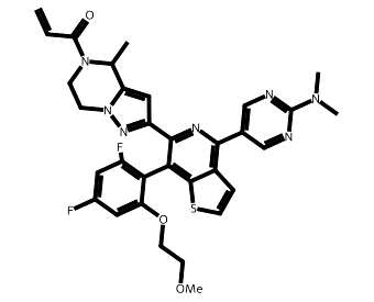 C=CC(=O)N1CCn2nc(-c3nc(-c4cnc(N(C)C)nc4)c4ccsc4c3-c3c(F)cc(F)cc3OCCOC)cc2C1C